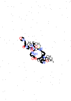 CCn1c(-c2cccnc2[C@H](C)OC)c2c3cc(ccc31)-c1nsc(n1)C[C@H](NC(=O)C(C(C)C)N(C)C(=O)[C@H]1CCN(C(=O)C#CCN3CCOCC3)C1)C(=O)N1CCC[C@H](N1)C(=O)OCC(C)(C)C2